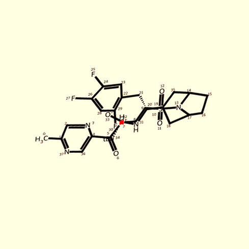 Cc1cnc(C(=O)NCCS(=O)(=O)N2C3CCC2CC([C@@H](Cc2cc(F)c(F)cc2F)N[S@@+]([O-])C(C)(C)C)C3)cn1